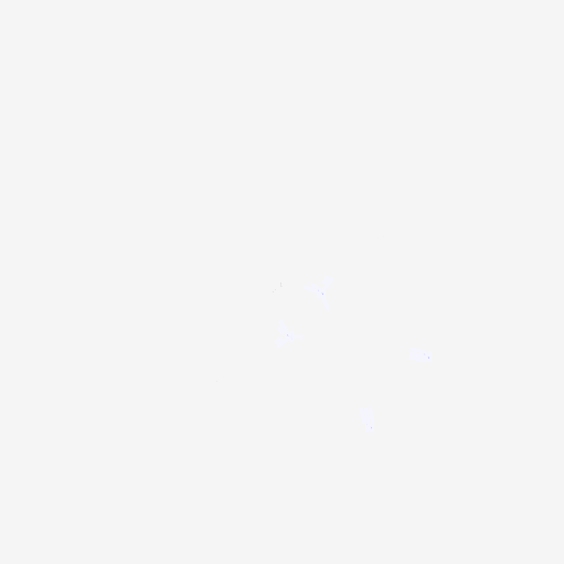 N#Cc1cc(-n2c3ccccc3c3c4sc5ccccc5c4ccc32)c(-n2c3ccccc3c3c4sc5ccccc5c4ccc32)cc1C#N